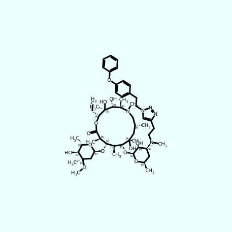 CC[C@H]1OC(=O)[C@H](C)[C@@H](O[C@H]2C[C@@](C)(OC)[C@@H](O)[C@H](C)O2)[C@H](C)[C@@H](O[C@@H]2O[C@H](C)C[C@H](N(C)CCc3cn(CCc4ccc(Oc5ccccc5)cc4)nn3)[C@H]2O)[C@](C)(O)C[C@@H](C)CN(C)[C@H](C)[C@@H](O)[C@]1(C)O